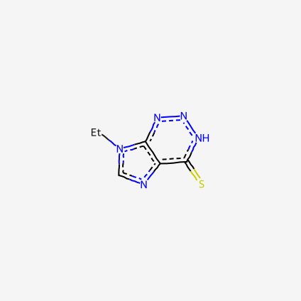 CCn1cnc2c(=S)[nH]nnc21